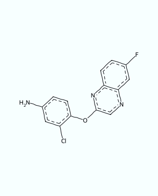 Nc1ccc(Oc2cnc3cc(F)ccc3n2)c(Cl)c1